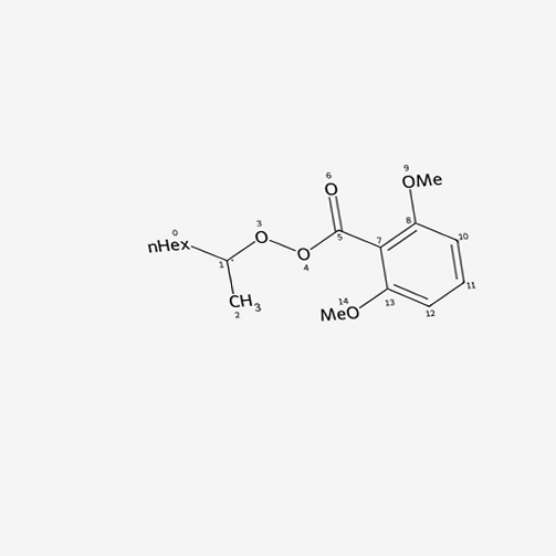 CCCCCC[C](C)OOC(=O)c1c(OC)cccc1OC